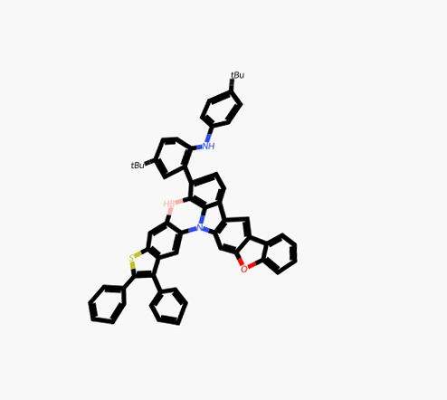 CC(C)(C)c1ccc(Nc2ccc(C(C)(C)C)cc2-c2ccc3c4cc5c(cc4n4c3c2Bc2cc3sc(-c6ccccc6)c(-c6ccccc6)c3cc2-4)oc2ccccc25)cc1